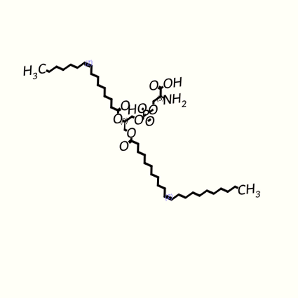 CCCCCC/C=C\CCCCCCCC(=O)O[C@H](COC(=O)CCCCCCCCC/C=C\CCCCCCCCCC)COP(=O)(O)OC[C@H](N)C(=O)O